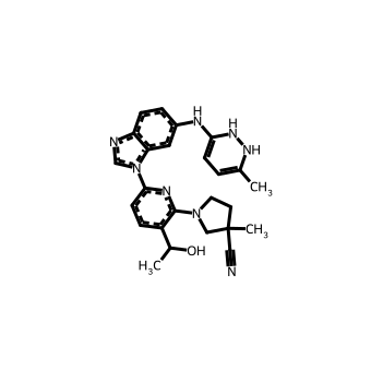 CC1=CC=C(Nc2ccc3ncn(-c4ccc(C(C)O)c(N5CCC(C)(C#N)C5)n4)c3c2)NN1